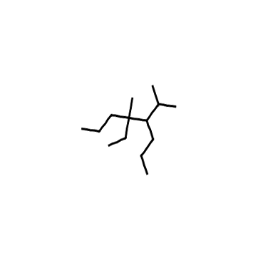 CCCC([C](C)C)C(C)(CC)CCC